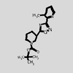 Cc1cccnc1-c1noc(C2CCCN(C(=O)OC(C)(C)C)C2)n1